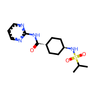 CC(C)S(=O)(=O)N[C@H]1CC[C@H](C(=O)Nc2ncccn2)CC1